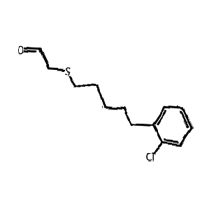 O=CCSCC[CH]CCc1ccccc1Cl